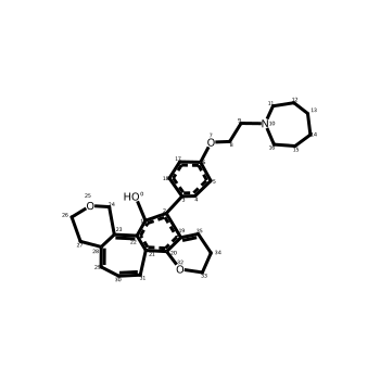 Oc1c(-c2ccc(OCCN3CCCCCC3)cc2)c2c(c3c1=C1COCCC1=CC=C3)OCCC=2